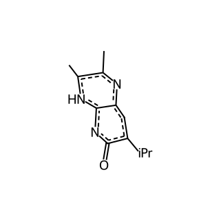 Cc1nc2cc(C(C)C)c(=O)nc-2[nH]c1C